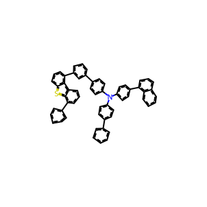 c1ccc(-c2ccc(N(c3ccc(-c4cccc(-c5cccc6sc7c(-c8ccccc8)cccc7c56)c4)cc3)c3ccc(-c4cccc5ccccc45)cc3)cc2)cc1